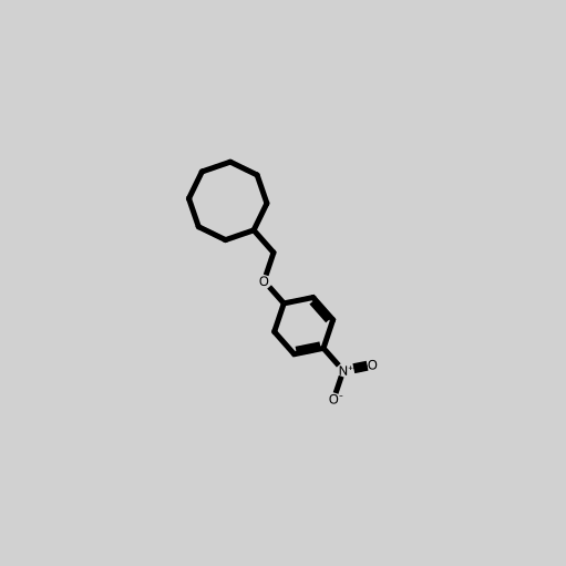 O=[N+]([O-])C1=CCC(OCC2CCCCCCC2)C=C1